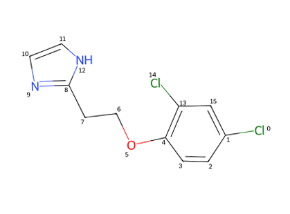 Clc1ccc(OCCc2ncc[nH]2)c(Cl)c1